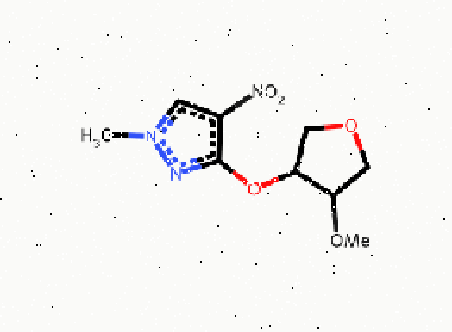 COC1COCC1Oc1nn(C)cc1[N+](=O)[O-]